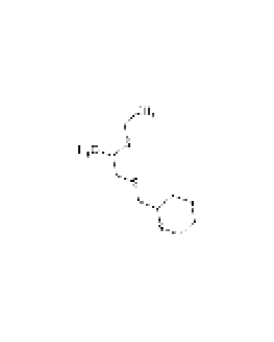 CCSC(C)CSCC1CSCCS1